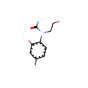 NC(=O)N(CCO)c1ccc([N+](=O)[O-])cc1O